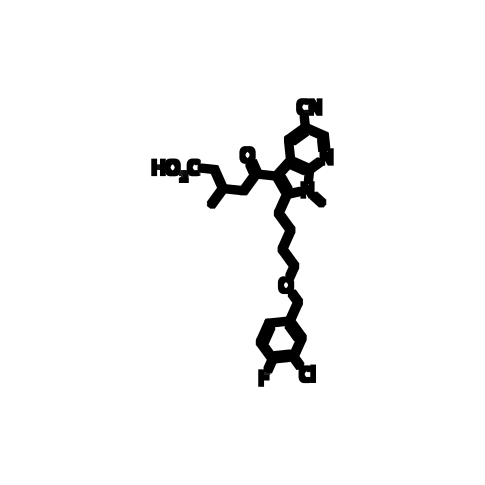 CC(CC(=O)O)CC(=O)c1c(CCCCOCc2ccc(F)c(Cl)c2)n(C)c2ncc(C#N)cc12